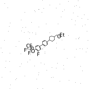 CCOCC1CCC(c2ccc(-c3ccc(OC(F)(F)C(F)C(F)(F)F)c(F)c3)cc2)CC1